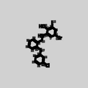 Oc1c(F)cc(Br)cc1NCc1ccccc1Sc1cccc(Cl)c1